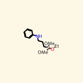 CCO[Si](CCCNc1ccccc1)(OC)OC